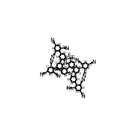 N#Cc1cc(C#N)c(-c2ccc3c(c2)c2cc(-c4c(C#N)cc(C#N)cc4C#N)ccc2n3-c2ccc(C#N)cc2-c2cccc(C(F)(F)F)c2-n2c3ccc(-c4c(C#N)cc(C#N)cc4C#N)cc3c3cc(-c4c(C#N)cc(C#N)cc4C#N)ccc32)c(C#N)c1